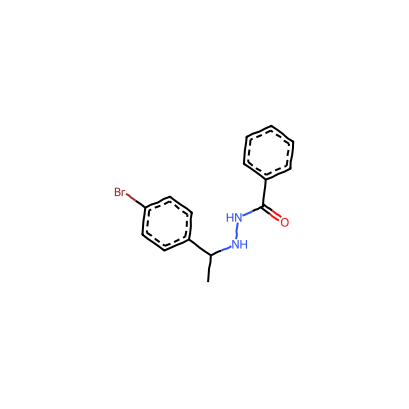 CC(NNC(=O)c1ccccc1)c1ccc(Br)cc1